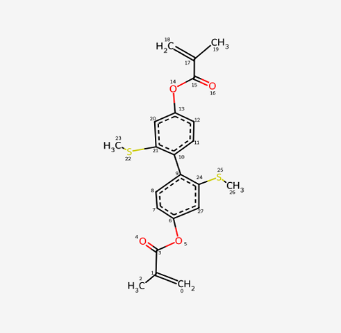 C=C(C)C(=O)Oc1ccc(-c2ccc(OC(=O)C(=C)C)cc2SC)c(SC)c1